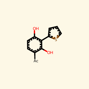 CC(=O)c1ccc(O)c(-c2cccs2)c1O